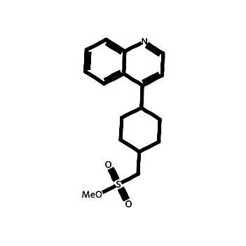 COS(=O)(=O)CC1CCC(c2ccnc3ccccc23)CC1